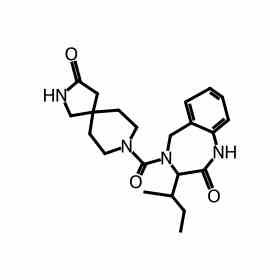 CCC(C)C1C(=O)Nc2ccccc2CN1C(=O)N1CCC2(CC1)CNC(=O)C2